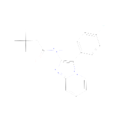 CC(C)(C)CC(=O)Nc1nc2ccccn2c1-c1ccc(F)cc1